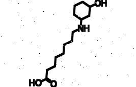 O=C(O)CCCCCCCNC1CCCC(O)C1